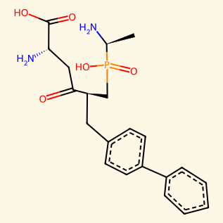 C[C@H](N)P(=O)(O)C[C@@H](Cc1ccc(-c2ccccc2)cc1)C(=O)C[C@H](N)C(=O)O